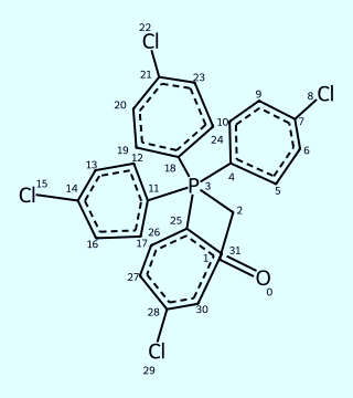 O=CCP(c1ccc(Cl)cc1)(c1ccc(Cl)cc1)(c1ccc(Cl)cc1)c1ccc(Cl)cc1